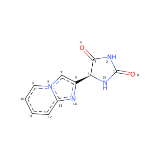 O=C1NC(=O)[C@H](c2cn3ccccc3n2)N1